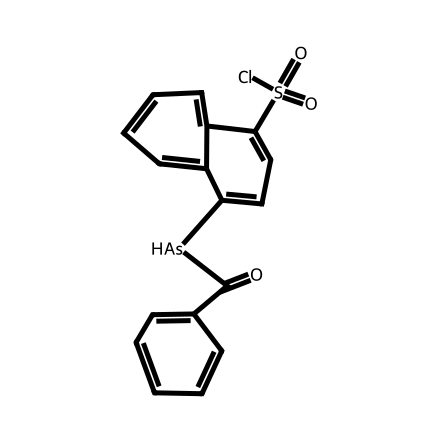 O=C([AsH]c1ccc(S(=O)(=O)Cl)c2ccccc12)c1ccccc1